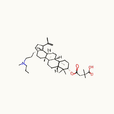 C=C(C)C1CC[C@]2(CCCN(C)CCC)CC[C@]3(C)[C@H](CC[C@@H]4[C@@]5(C)CC[C@H](OC(=O)CC(C)(C)C(=O)O)C(C)(C)[C@@H]5CC[C@]43C)[C@@H]12